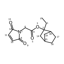 CCC1(OC(=O)CN2C(=O)C=CC2=O)CC2CCC1C2